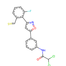 O=C(Nc1cccc(-c2cc(-c3c(F)cccc3C=S)no2)c1)C(Cl)Cl